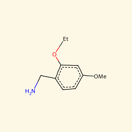 CCOc1cc(OC)ccc1CN